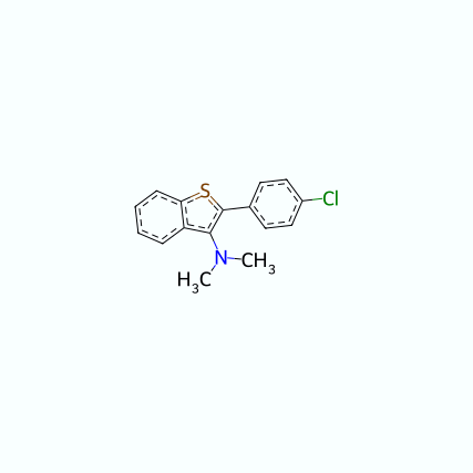 CN(C)c1c(-c2ccc(Cl)cc2)sc2ccccc12